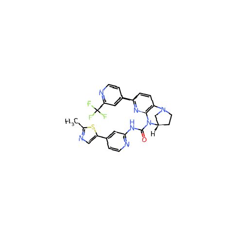 Cc1ncc(-c2ccnc(NC(=O)N3c4nc(-c5ccnc(C(F)(F)F)c5)ccc4N4CC[C@H]3C4)c2)s1